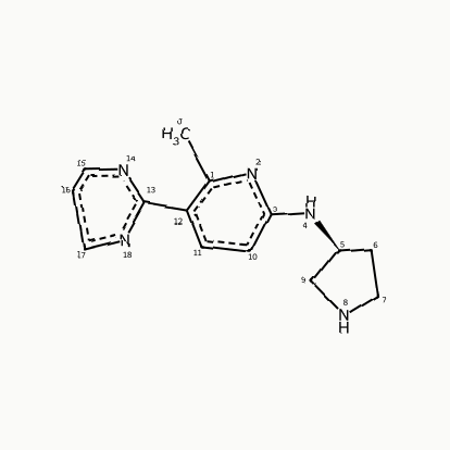 Cc1nc(N[C@H]2CCNC2)ccc1-c1ncccn1